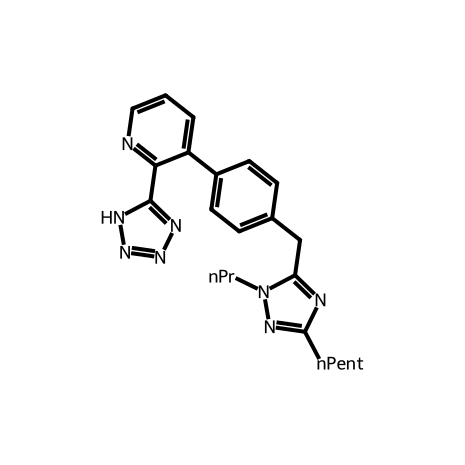 CCCCCc1nc(Cc2ccc(-c3cccnc3-c3nnn[nH]3)cc2)n(CCC)n1